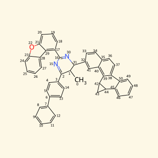 CC1C(c2ccc(-c3ccccc3)cc2)=NC(c2cccc3oc4ccccc4c23)=NC1c1ccc2ccc3c(c2c1)C1CC1c1ccccc1-3